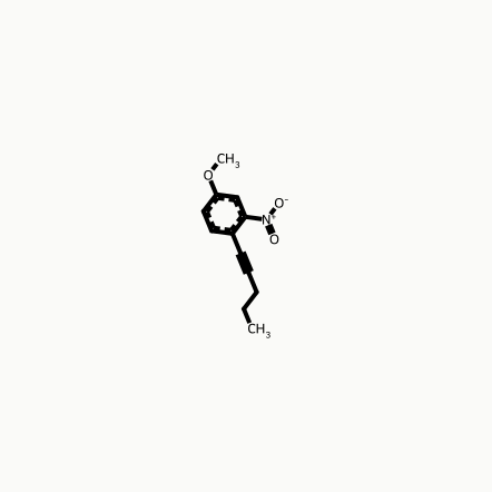 CCCC#Cc1ccc(OC)cc1[N+](=O)[O-]